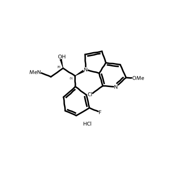 CNC[C@@H](O)[C@H](c1cccc(F)c1)n1ccc2cc(OC)nc(Cl)c21.Cl